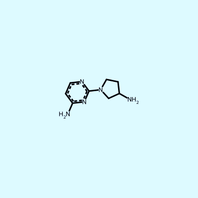 Nc1ccnc(N2CCC(N)C2)n1